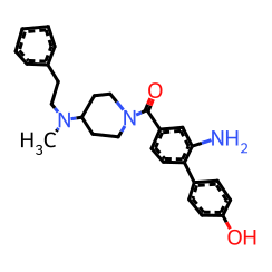 CN(CCc1ccccc1)C1CCN(C(=O)c2ccc(-c3ccc(O)cc3)c(N)c2)CC1